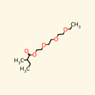 CCOCCOCCOCCOC(=O)C(C)CC